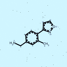 Cc1cc(CN)ccc1-c1ccon1